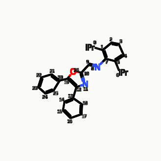 CC(C)c1cccc(C(C)C)c1/N=C/c1nc(-c2ccccc2)c(-c2ccccc2)o1